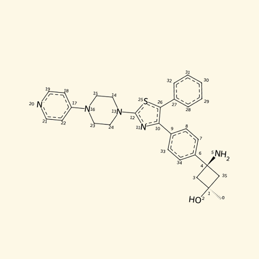 C[C@]1(O)C[C@](N)(c2ccc(-c3nc(N4CCN(c5ccncc5)CC4)sc3-c3ccccc3)cc2)C1